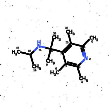 Cc1nc(C)c(C)c(C(C)(C)NC(C)C)c1C